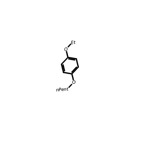 CCCCCOc1ccc(OCC)cc1